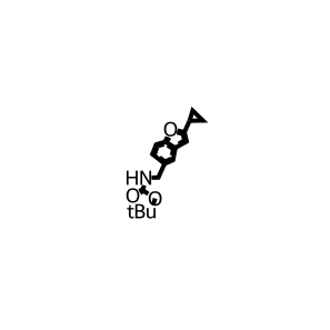 CC(C)(C)OC(=O)NCc1ccc2oc(C3CC3)cc2c1